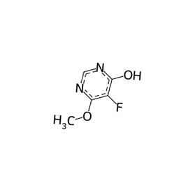 COc1ncnc(O)c1F